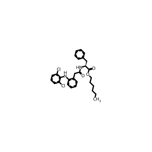 CCCCCCOC(=O)[C@H](Cc1ccccc1)NC(=O)Cc1ccccc1Nc1c(Cl)cccc1Cl